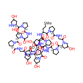 CSCC[C@H](NC(=O)CNC(=O)[C@@H]1CCCN1C(=O)[C@@H]1C[C@@H](O)CN1C(=O)CNC(=O)[C@@H]1CCCN1C(=O)[C@@H]1C[C@@H](O)CN1C(=O)CNC(=O)[C@@H]1CCCN1C(=O)[C@@H]1C[C@@H](O)CN1)C(=O)N1CCC[C@H]1C(=O)NCC(=O)N1C[C@H](O)C[C@H]1C(=O)N1CCC[C@H]1C(=O)NCC(=O)N1C[C@H](O)C[C@H]1C(=O)N1CCC[C@H]1C(=O)NCC(=O)N1C[C@H](O)C[C@H]1C(=O)N1CCC[C@H]1C(=O)O